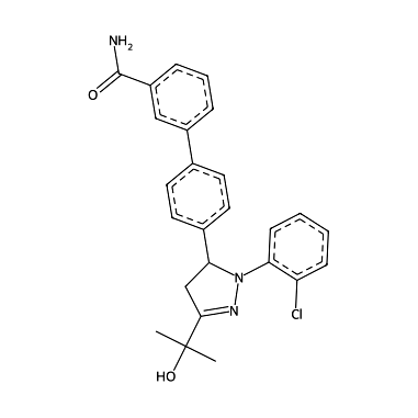 CC(C)(O)C1=NN(c2ccccc2Cl)C(c2ccc(-c3cccc(C(N)=O)c3)cc2)C1